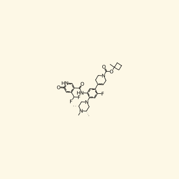 C[C@@H]1CN(c2cc(F)c(C3=CCN(C(=O)OC4(C)CCC4)CC3)cc2NC(=O)c2c[nH]c(=O)cc2C(F)F)C[C@H](C)N1C